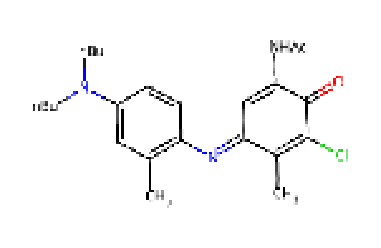 CCCCN(CCCC)c1ccc(/N=C2\C=C(NC(C)=O)C(=O)C(Cl)=C2C)c(C)c1